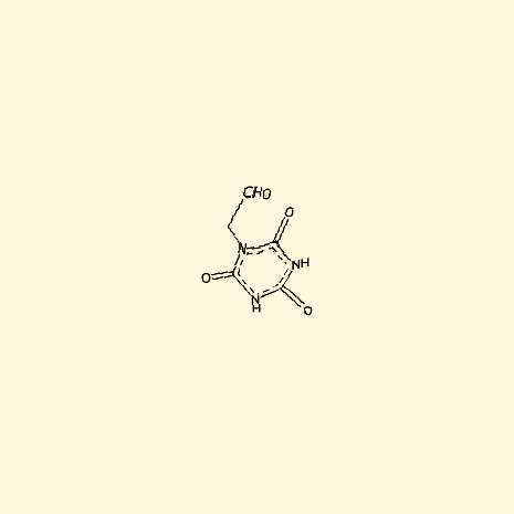 O=CCn1c(=O)[nH]c(=O)[nH]c1=O